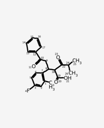 Cc1cc(F)ccc1C(CC(=O)c1ccccc1)C(C(=O)O)C(=O)C(C)C